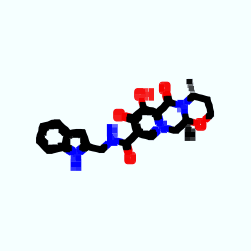 C[C@@H]1CCO[C@H]2Cn3cc(C(=O)NCc4cc5ccccc5[nH]4)c(=O)c(O)c3C(=O)N12